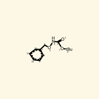 [CH]C(C)(C)OC(=O)NOCc1ccccc1